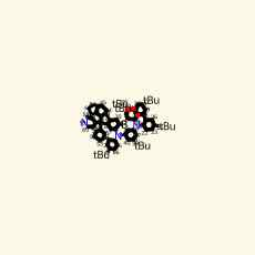 CC(C)(C)c1ccc(N2c3cc4c(cc3B3c5cc(C(C)(C)C)ccc5N(c5ccc(C(C)(C)C)cc5-c5cc(C(C)(C)C)cc(C(C)(C)C)c5)c5cc(C(C)(C)C)cc2c53)-c2ccc3c(c2C4(c2ccccc2)c2ccncc2)CCC3)cc1